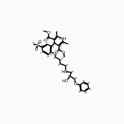 COC(=O)C1=C(C)NC(C)=C(C(=O)OC)C1c1cc(S(C)(=O)=O)ccc1OCCCCNCC(O)COc1ccccc1